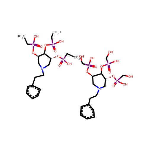 O=C(O)CP(=O)(O)OC1[C@H](OP(=O)(O)CC(=O)O)CN(CCc2ccccc2)C[C@H]1OP(=O)(O)CC(=O)O.O=P(O)(CO)OC1[C@H](OP(=O)(O)CO)CN(CCc2ccccc2)C[C@H]1OP(=O)(O)CO